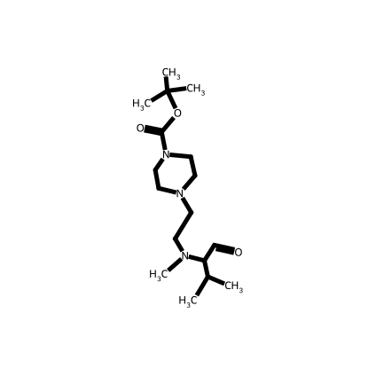 CC(C)C(C=O)N(C)CCN1CCN(C(=O)OC(C)(C)C)CC1